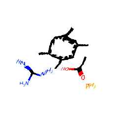 CC(=O)O.Cc1cc(C)c(C)cc1C.N=C(N)N.P